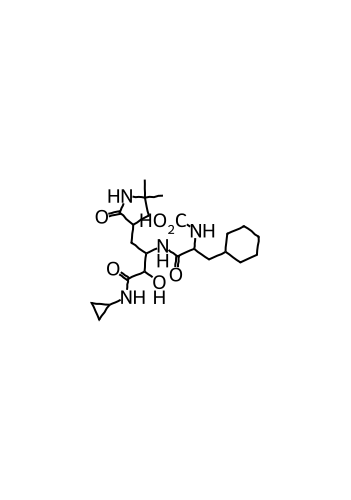 CC1(C)CC(CC(NC(=O)C(CC2CCCCC2)NC(=O)O)C(O)C(=O)NC2CC2)C(=O)N1